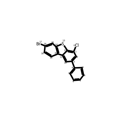 Clc1cc(-c2ccccc2)cc2c1sc1cc(Br)ccc12